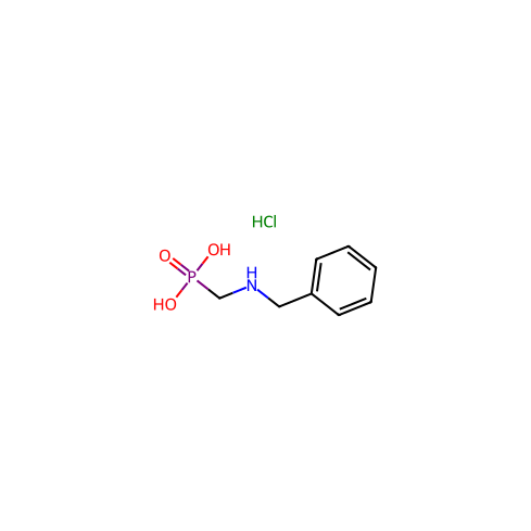 Cl.O=P(O)(O)CNCc1ccccc1